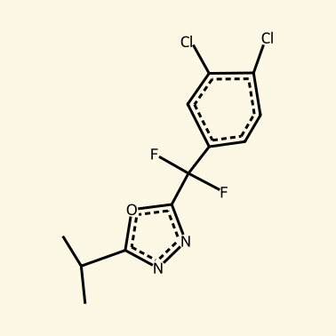 CC(C)c1nnc(C(F)(F)c2ccc(Cl)c(Cl)c2)o1